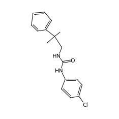 CC(C)(CNC(=O)Nc1ccc(Cl)cc1)c1ccccc1